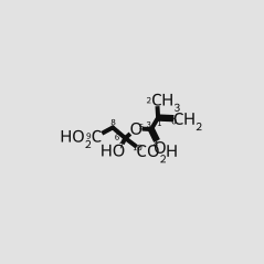 C=C(C)C(=O)OC(O)(CC(=O)O)C(=O)O